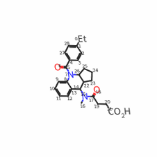 CCc1ccc(C(=O)N2c3ccccc3C(N(C)C(=O)CCC(=O)O)C3CCCC32)cc1